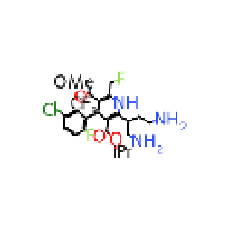 COC(=O)C1=C(CF)NC(C(CN)CCN)=C(C(=O)OC(C)C)C1c1c(F)ccc(Cl)c1C(F)(F)F